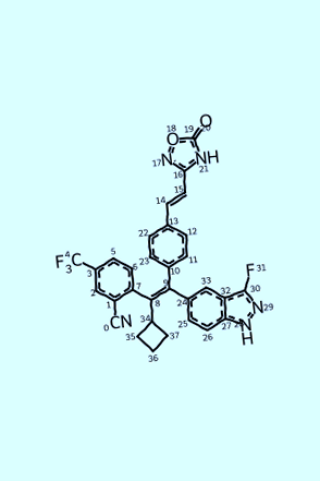 N#Cc1cc(C(F)(F)F)ccc1/C(=C(\c1ccc(/C=C/c2noc(=O)[nH]2)cc1)c1ccc2[nH]nc(F)c2c1)C1CCC1